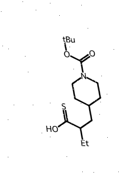 CCC(CC1CCN(C(=O)OC(C)(C)C)CC1)C(O)=S